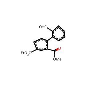 CCOC(=O)c1ccc(-c2ccccc2C=O)c(C(=O)OC)c1